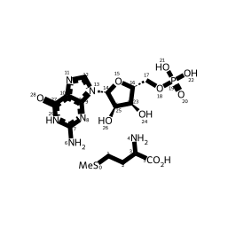 CSCCC(N)C(=O)O.Nc1nc2c(ncn2[C@@H]2O[C@H](COP(=O)(O)O)[C@@H](O)[C@H]2O)c(=O)[nH]1